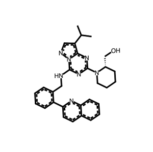 CC(C)c1cnn2c(NCc3ccccc3-c3ccc4ccccc4n3)nc(N3CCCC[C@H]3CO)nc12